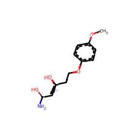 COc1ccc(OCC/C(O)=C/C(N)O)cc1